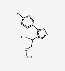 NC(COC=O)c1cscc1-c1ccc(Cl)cc1